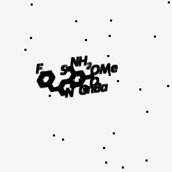 CCCCOc1c(C(=O)OC)cc(C(N)=S)c2cc(Cc3ccc(F)cc3)cnc12